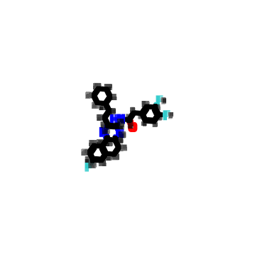 O=C(Cc1ccc(F)c(F)c1)Nc1nc2c(nc1CCC1CCCCC1)-c1ccc(F)cc1CC2